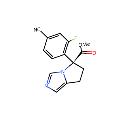 COC(=O)[C@@]1(c2ccc(C#N)cc2F)CCc2cncn21